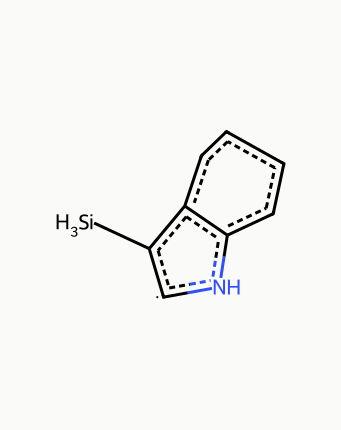 [SiH3]c1[c][nH]c2ccccc12